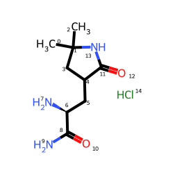 CC1(C)CC(C[C@H](N)C(N)=O)C(=O)N1.Cl